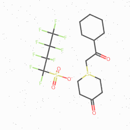 O=C1CC[S+](CC(=O)C2CCCCC2)CC1.O=S(=O)([O-])C(F)(F)C(F)(F)C(F)(F)C(F)(F)F